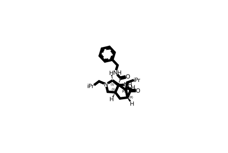 CC(C)C[C@H]1[C@@H]2N(CC(C)C)C[C@@H]3C[C@H]1C(=O)N[C@@]32C(=O)NCc1ccccc1